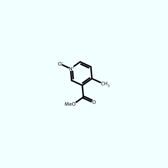 COC(=O)c1c[n+]([O-])ccc1C